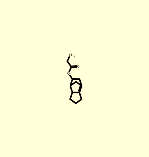 CCC(=O)OC1CC2=C3CCCC3C1C2